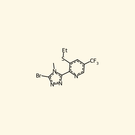 CCSc1cc(C(F)(F)F)cnc1-c1nnc(Br)n1C